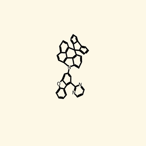 c1cnc(-c2cc(-n3c4cccc5c4c4c6c(cccc6ccc43)C53c4ccccc4-c4ccccc43)cc3oc4ccccc4c23)nc1